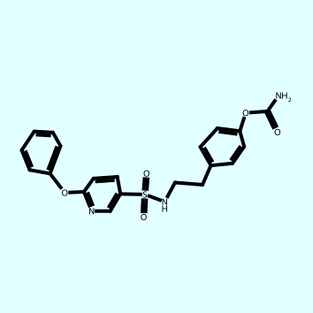 NC(=O)Oc1ccc(CCNS(=O)(=O)c2ccc(Oc3ccccc3)nc2)cc1